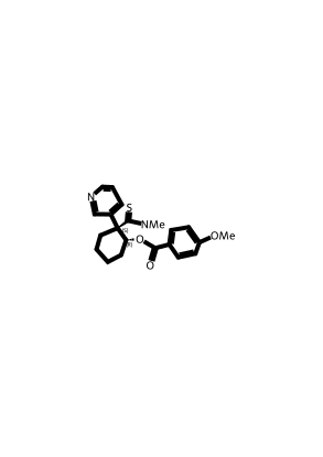 CNC(=S)[C@]1(c2cccnc2)CCCC[C@H]1OC(=O)c1ccc(OC)cc1